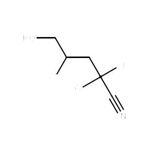 N#CC(Cl)(Cl)CC(Cl)CO